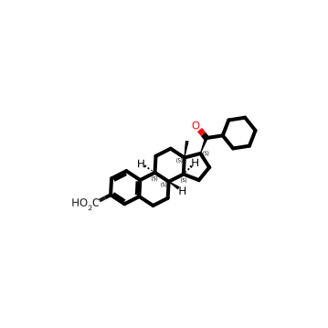 C[C@]12CC[C@@H]3c4ccc(C(=O)O)cc4CC[C@H]3[C@@H]1CC[C@@H]2C(=O)C1CCCCC1